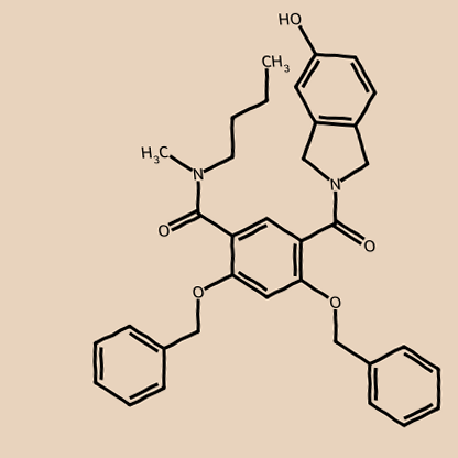 CCCCN(C)C(=O)c1cc(C(=O)N2Cc3ccc(O)cc3C2)c(OCc2ccccc2)cc1OCc1ccccc1